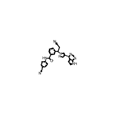 N#CCC(c1cccc(C(=O)Nc2ccc(C#N)cc2)c1)n1cc(-c2ncnc3[nH]ccc23)cn1